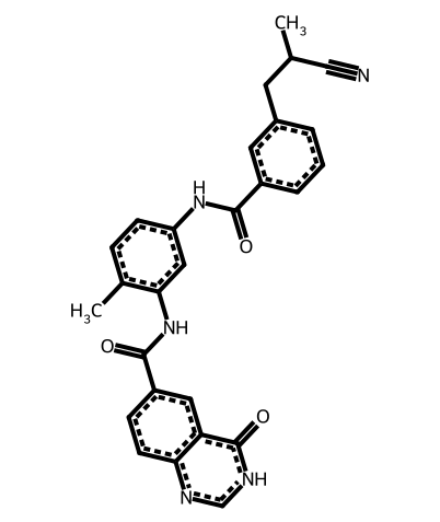 Cc1ccc(NC(=O)c2cccc(CC(C)C#N)c2)cc1NC(=O)c1ccc2nc[nH]c(=O)c2c1